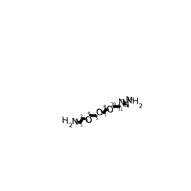 NCCOCCOCCOCCN=NN